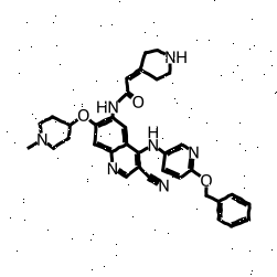 CN1CCC(Oc2cc3ncc(C#N)c(Nc4ccc(OCc5ccccc5)nc4)c3cc2NC(=O)C=C2CCNCC2)CC1